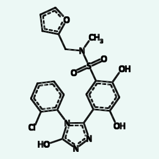 CN(Cc1ccco1)S(=O)(=O)c1cc(-c2nnc(O)n2-c2ccccc2Cl)c(O)cc1O